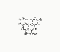 COC(=O)c1c(C(C)C)nc2c(c1-c1ccc(F)cc1)CSCC2